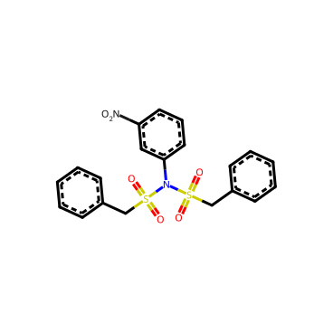 O=[N+]([O-])c1cccc(N(S(=O)(=O)Cc2ccccc2)S(=O)(=O)Cc2ccccc2)c1